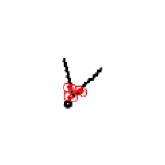 CCCCCCCCCCCC(=O)OCC(COC(=O)CCCCCCCCCCC)OC(=O)c1ccccc1